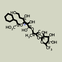 CC(O[C@@H]1OC(C(F)(F)F)[C@@H](O)C(O)C1O)[C@@H](C)O[C@H](O)/C(O)=C(\O[C@@H](CC1CCCCC1)C(=O)O)[C@@H](O)CCO